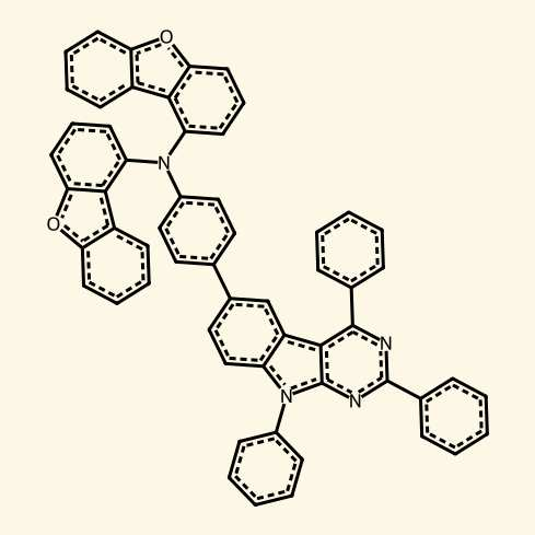 c1ccc(-c2nc(-c3ccccc3)c3c4cc(-c5ccc(N(c6cccc7oc8ccccc8c67)c6cccc7oc8ccccc8c67)cc5)ccc4n(-c4ccccc4)c3n2)cc1